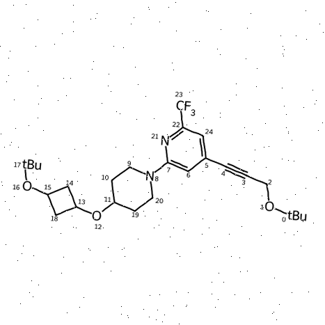 CC(C)(C)OCC#Cc1cc(N2CCC(OC3CC(OC(C)(C)C)C3)CC2)nc(C(F)(F)F)c1